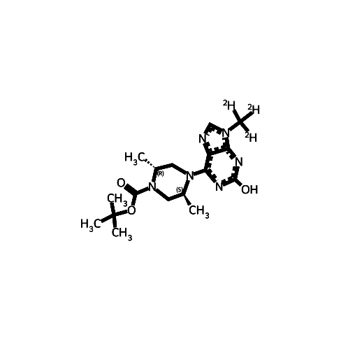 [2H]C([2H])([2H])n1cnc2c(N3C[C@@H](C)N(C(=O)OC(C)(C)C)C[C@@H]3C)nc(O)nc21